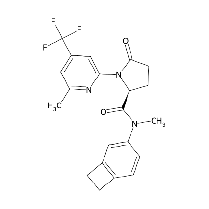 Cc1cc(C(F)(F)F)cc(N2C(=O)CC[C@H]2C(=O)N(C)c2ccc3c(c2)CC3)n1